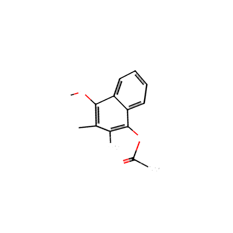 CCOc1c(C)c(OC)c(OC(=O)NC)c2ccccc12